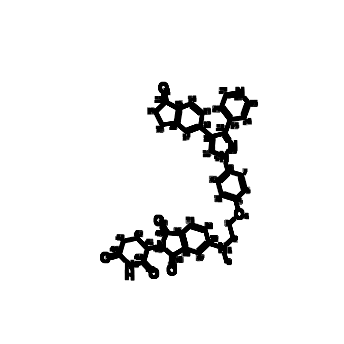 CN(CCOc1ccc(-n2cc(-c3ccc4c(c3)CCC4=O)c(-c3ccncc3)n2)cc1)c1ccc2c(c1)C(=O)N(C1CCC(=O)NC1=O)C2=O